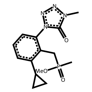 COP(C)(=O)Cc1c(C2CC2)cccc1-n1nnn(C)c1=O